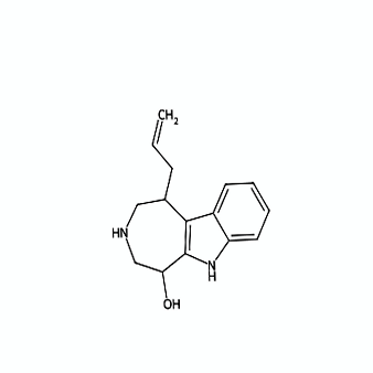 C=CCC1CNCC(O)c2[nH]c3ccccc3c21